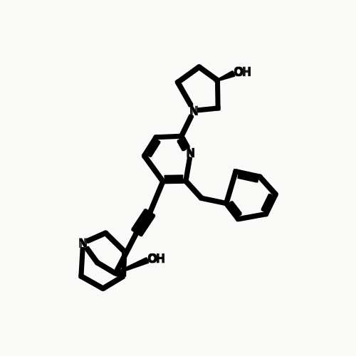 O[C@@H]1CCN(c2ccc(C#C[C@@]3(O)CN4CCC3CC4)c(Cc3ccccc3)n2)C1